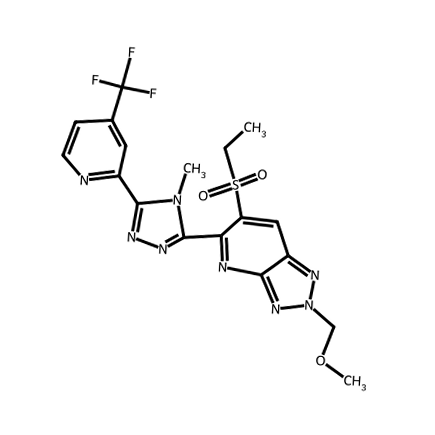 CCS(=O)(=O)c1cc2nn(COC)nc2nc1-c1nnc(-c2cc(C(F)(F)F)ccn2)n1C